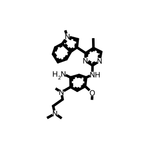 COc1cc(N(C)CCN(C)C)c(N)cc1Nc1ncc(C)c(-c2cn(C)c3ccccc23)n1